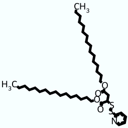 CCCCCCCCCCCCCCCCOC(=O)CC(SSc1ccccn1)C(=O)OCCCCCCCCCCCCCCCC